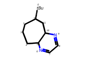 CC(C)(C)C1CCCC2N=CC=NC2C1